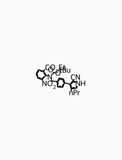 CCCc1c[nH]c(C#N)c1-c1ccc(CN(C(=O)OC(C)(C)C)c2c(C(=O)OCC)cccc2[N+](=O)[O-])cc1